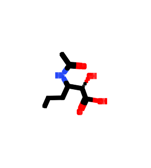 CCCC(NC(C)=O)[C@H](O)C(=O)O